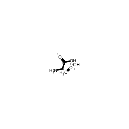 C=O.Cl.NCC(=O)O